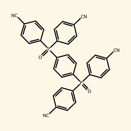 N#Cc1ccc(P(=O)(c2ccc(C#N)cc2)c2ccc(P(=O)(c3ccc(C#N)cc3)c3ccc(C#N)cc3)cc2)cc1